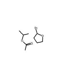 CC(=O)OC(C)C.CCC1CCCO1